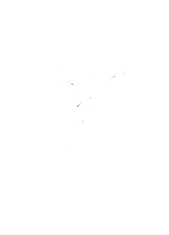 CC(C)(C)O[C@H]1C[C@@H](O)C2C[C@@]21COCc1ccccc1